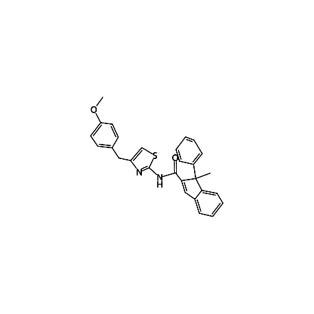 COc1ccc(Cc2csc(NC(=O)C3=Cc4ccccc4C3(C)c3ccccc3)n2)cc1